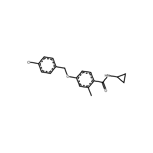 Cc1cc(OCc2ccc(Cl)cc2)ccc1C(=O)NC1CC1